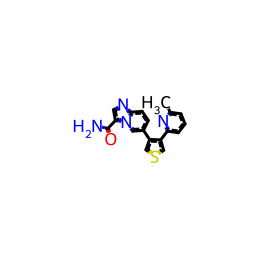 Cc1cccc(-c2cscc2-c2ccc3ncc(C(N)=O)n3c2)n1